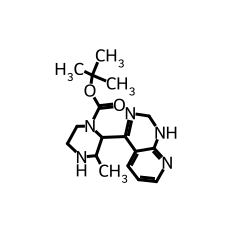 CC1NCCN(C(=O)OC(C)(C)C)C1C1=NCNc2ncccc21